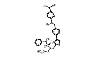 CCCC(CCC)c1ccc(N(Cc2ccc(-c3csc(CN(CC(=O)O)S(=O)(=O)N(C)c4ccccc4)n3)cc2)C(C)C)cc1